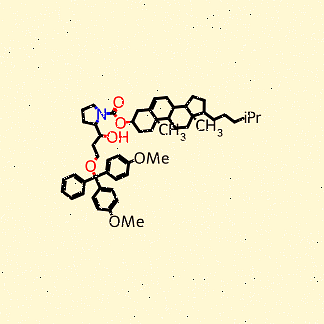 COc1ccc(C(OCCC(O)C2CCCN2C(=O)O[C@@H]2CC[C@]3(C)C(=CCC4C5CCC(CCCC(C)C)[C@]5(C)CCC43)C2)(c2ccccc2)c2ccc(OC)cc2)cc1